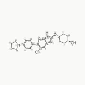 O[C@H]1CC[C@H](Oc2nc3cc(Cl)c(-c4ccc(N5CCCC5)cc4)nc3[nH]2)CC1